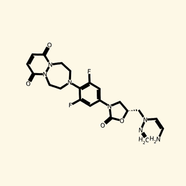 C=NN(/C=C\N)C[C@H]1CN(c2cc(F)c(N3CCn4c(=O)ccc(=O)n4CC3)c(F)c2)C(=O)O1